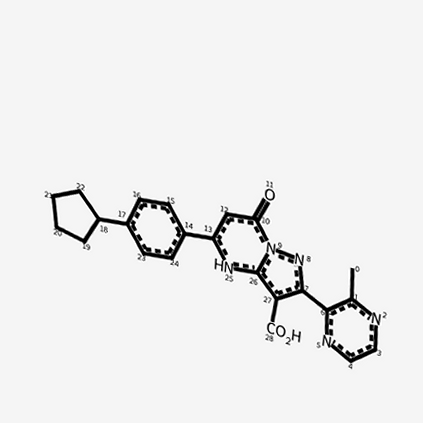 Cc1nccnc1-c1nn2c(=O)cc(-c3ccc(C4CCCC4)cc3)[nH]c2c1C(=O)O